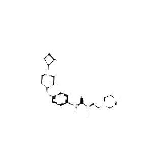 O=C(NCCN1CCSCC1)Nc1ccc(OC2CCN(C3CCC3)CC2)cc1